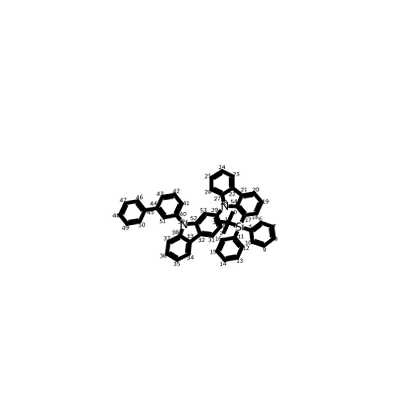 CC(C)(C)[Si](c1ccccc1)(c1ccccc1)c1cccc2c3ccccc3n(-c3ccc4c5ccccc5n(-c5cccc(-c6ccccc6)c5)c4c3)c12